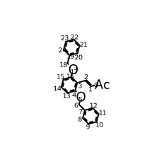 CC(=O)C=Cc1c(OCc2ccccc2)cccc1OCc1ccccc1